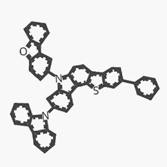 c1ccc(-c2ccc3c(c2)sc2c3ccc3c2c2ccc(-n4c5ccccc5c5ccccc54)cc2n3-c2ccc3oc4ccccc4c3c2)cc1